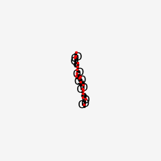 C=CC(=O)OCOc1ccc(CCC(=O)Oc2ccc(S(=O)(=O)c3ccc(OC(=O)CCc4ccc(OCOC(=O)C=C)cc4)cc3)cc2)cc1